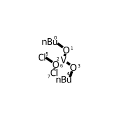 CCCC[O][V][O]CCCC.ClOCl